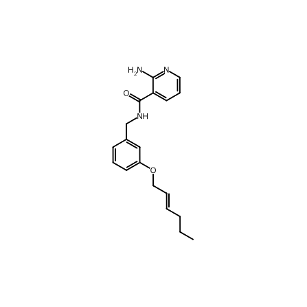 CCC/C=C/COc1cccc(CNC(=O)c2cccnc2N)c1